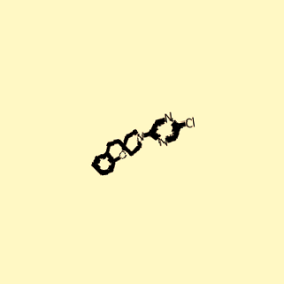 Clc1cnc(N2CCC3(CCc4ccccc4O3)CC2)cn1